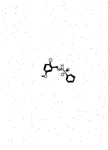 COc1ccc(Cl)c(/C=N/NS(=O)(=O)c2ccccc2)c1